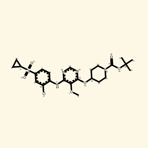 COc1c(Nc2ccc(S(=O)(=O)C3CC3)cc2Cl)ncnc1OC1CCN(C(=O)OC(C)(C)C)CC1